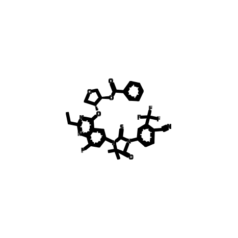 CCc1nc(O[C@@H]2COC[C@H]2OC(=O)c2ccccc2)c2cc(N3C(=S)N(c4ccc(C#N)c(C(F)(F)F)c4)C(=O)C3(C)C)cc(F)c2n1